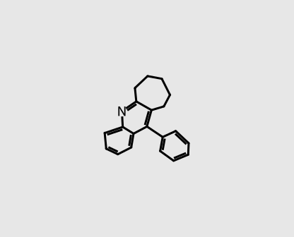 c1ccc(-c2c3c(nc4ccccc24)CCCCC3)cc1